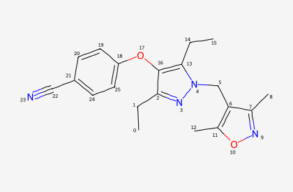 CCc1nn(Cc2c(C)noc2C)c(CC)c1Oc1ccc(C#N)cc1